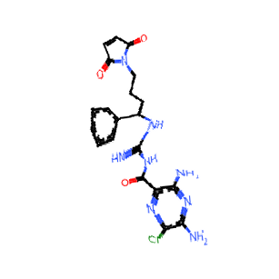 N=C(NC(=O)c1nc(Cl)c(N)nc1N)NC(CCCN1C(=O)C=CC1=O)c1ccccc1